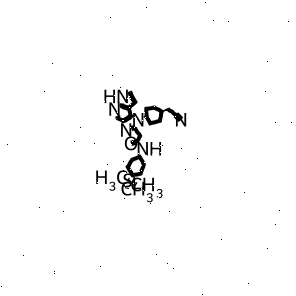 C[Si](C)(C)[C@H]1CC[C@H](NC(=O)Cc2nc3cnc4[nH]ccc4c3n2[C@H]2CC[C@H](CC#N)CC2)CC1